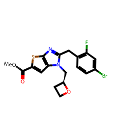 COC(=O)c1cc2c(nc(Cc3ccc(Br)cc3F)n2C[C@@H]2CCO2)s1